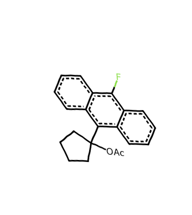 CC(=O)OC1(c2c3ccccc3c(F)c3ccccc23)CCCC1